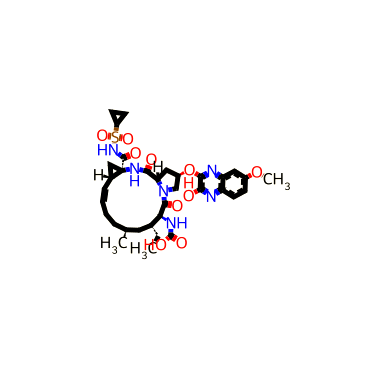 CC[C@@H]1C[C@H](C)CCC=C[C@@H]2C[C@@]2(C(=O)NS(=O)(=O)C2CC2)NC(=O)[C@@H]2C[C@@H](Oc3nc4cc(OC)ccc4nc3O)CN2C(=O)[C@H]1NC(=O)O